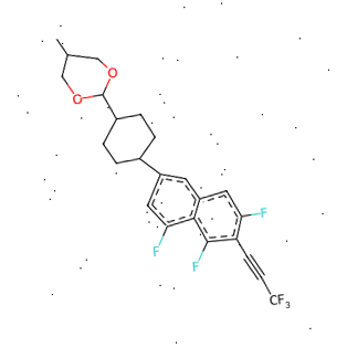 CC1COC(C2CCC(c3cc(F)c4c(F)c(C#CC(F)(F)F)c(F)cc4c3)CC2)OC1